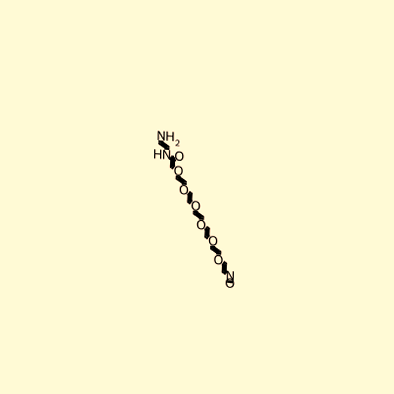 NCCNC(=O)COCCOCCOCCOCCOCCOCCN=O